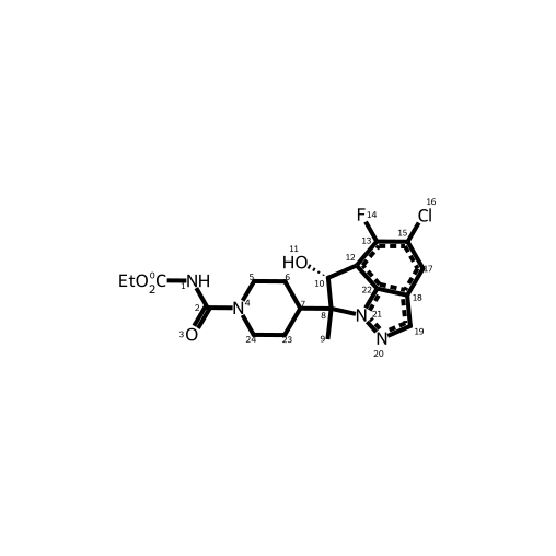 CCOC(=O)NC(=O)N1CCC(C2(C)[C@H](O)c3c(F)c(Cl)cc4cnn2c34)CC1